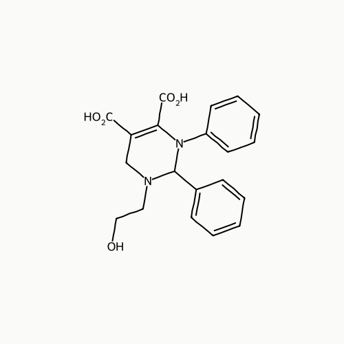 O=C(O)C1=C(C(=O)O)N(c2ccccc2)C(c2ccccc2)N(CCO)C1